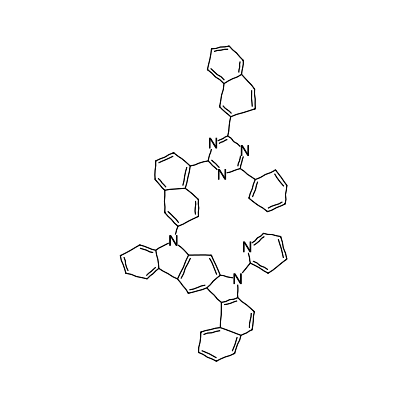 c1ccc(-c2nc(-c3ccc4ccccc4c3)nc(-c3cccc4cc(-n5c6ccccc6c6cc7c8c9ccccc9ccc8n(-c8ccccn8)c7cc65)ccc34)n2)cc1